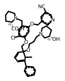 CC1C(c2ccccc2)=CC=CC1(COc1cc(OCc2cncc(C#N)c2)c(CN2CCCC[C@H]2C(=O)O)cc1Cl)OCCCN1CCC[C@H](O)C1